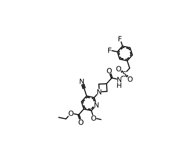 CCOC(=O)c1cc(C#N)c(N2CC(C(=O)NS(=O)(=O)Cc3ccc(F)c(F)c3)C2)nc1OC